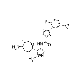 Cn1ncc(NC(=O)c2csc(-c3cc(C4CC4)ccc3F)n2)c1[C@@H]1CC[C@@H](N)[C@H](F)CO1